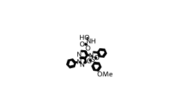 COc1ccc(S(=O)(=O)N(Cc2ccccc2)c2c(OC(=O)NO)cnc3c2cnn3-c2ccccc2)cc1